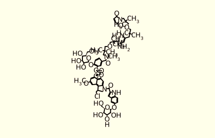 COc1ccc2c(OS(=O)(=O)Oc3cc(C(=O)N(C)CC(C)(C)COCC(C)(C)CN(N)/C=C(\N)CC(C)(C)COCC(C)(C)CN4C(=O)C=CC4=O)ccc3O[C@@H]3O[C@H](CO)[C@H](O)[C@H](O)C3O)cc3c(c2c1)C(CCl)CN3C(=O)c1cc2cc(O[C@@H]3O[C@H](CO)[C@H](O)[C@H](O)[C@H]3O)ccc2[nH]1